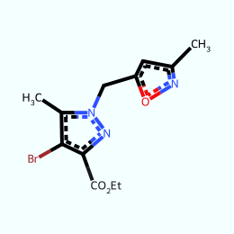 CCOC(=O)c1nn(Cc2cc(C)no2)c(C)c1Br